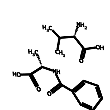 CC(C)[C@H](N)C(=O)O.C[C@H](NC(=O)c1ccccc1)C(=O)O